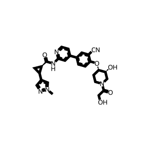 Cn1cc(C2C[C@H]2C(=O)Nc2cc(-c3ccc(O[C@H]4CCN(C(=O)CO)C[C@H]4O)c(C#N)c3)ccn2)cn1